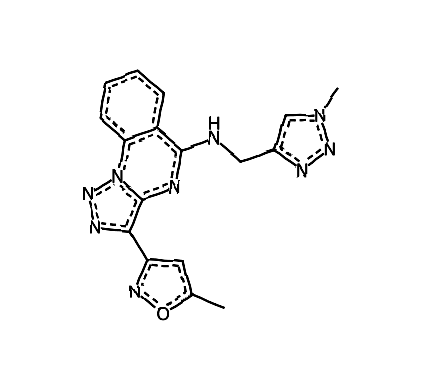 Cc1cc(-c2nnn3c2nc(NCc2cn(C)nn2)c2ccccc23)no1